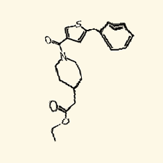 CCOC(=O)CC1CCN(C(=O)c2csc(-c3ccccc3)c2)CC1